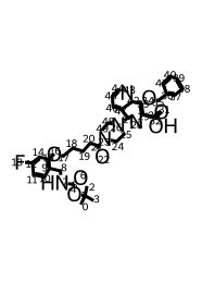 CC(C)(C)OC(=O)NCc1ccc(F)cc1OCCCCC(=O)N1CCN(c2nc(C(=O)O)c(OCc3ccccc3)c3ncccc23)CC1